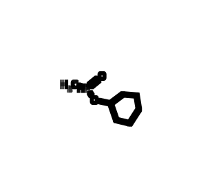 C[PH](=O)OC1CCCCC1